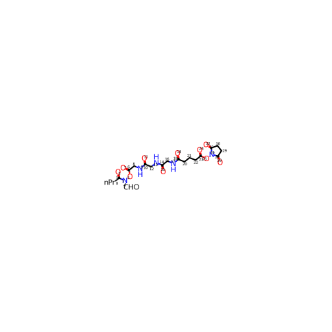 CCCC(=O)N(C=O)OC(=O)CNC(=O)CNC(=O)CNC(=O)CCCC(=O)ON1C(=O)CCC1=O